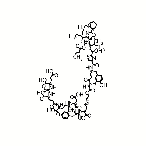 CCCC(=O)OCN(C(=O)[C@@H](NC(=O)[C@H]1CCCCN1C)C(C)CC)[C@H](C[C@@H](O)c1nc(C(=O)N[C@H](CCC(=O)NNC(=O)OCCSSC[C@H](NC(=O)[C@H](Cc2ccccc2)NC(=O)[C@H](CC(=O)O)NC(=O)CC[C@H](NC(=O)CC[C@H](NC(=S)N[C@@H](CCC(=O)O)C(=O)O)C(=O)O)C(=O)O)C(=O)O)Cc2ccc(O)cc2)cs1)C(C)C